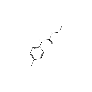 CONC(=S)Nc1ccc(C)cc1